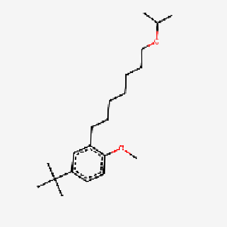 COc1ccc(C(C)(C)C)cc1CCCCCCCOC(C)C